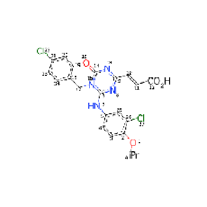 CC(C)Oc1ccc(Nc2nc(C=CC(=O)O)nc(=O)n2Cc2ccc(Cl)cc2)cc1Cl